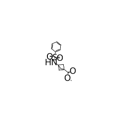 COC(=O)C12CC(NS(=O)(=O)c3ccccc3)(C1)C2